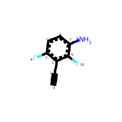 C#Cc1c(F)ccc(N)c1F